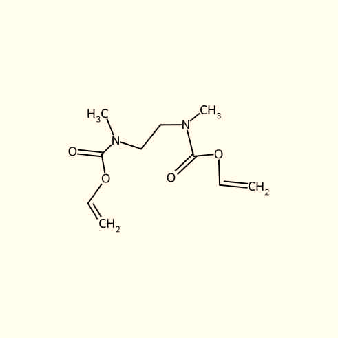 C=COC(=O)N(C)CCN(C)C(=O)OC=C